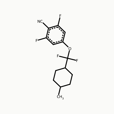 CC1CCC(C(F)(F)Oc2cc(F)c(C#N)c(F)c2)CC1